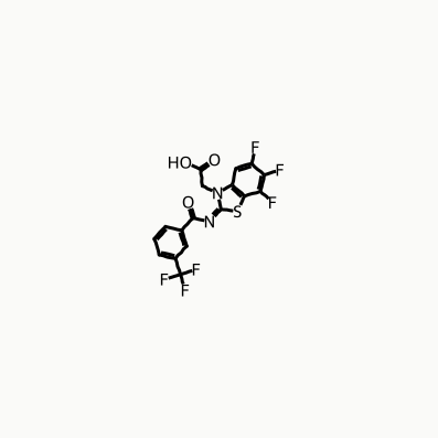 O=C(O)Cn1c(=NC(=O)c2cccc(C(F)(F)F)c2)sc2c(F)c(F)c(F)cc21